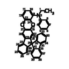 CCN(c1ccccc1)c1cccc2c1Oc1cc3c(cc1O2)-c1ccccc1C31c2ccccc2-c2ccccc21